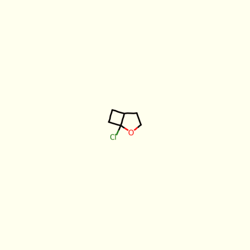 ClC12CCC1CCO2